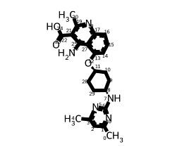 Cc1cc(C)nc(N[C@H]2CC[C@H](Oc3cccc4nc(C)c(C(=O)O)c(N)c34)CC2)n1